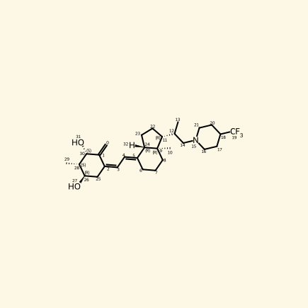 C=C1C(=CC=C2CCC[C@]3(C)[C@@H](C(C)CN4CCC(C(F)(F)F)CC4)CC[C@@H]23)C[C@@H](O)[C@H](C)[C@@H]1O